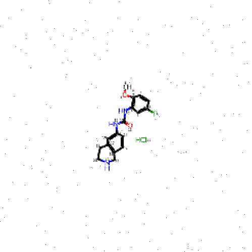 COc1ccc(F)cc1NC(=O)Nc1ccc2c(c1)CCNC2.Cl